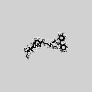 CCOC(=O)C(C)(C)c1cn2nc(CCCCN3CCN(C(c4ccccc4)c4ccccc4)CC3)ccc2n1